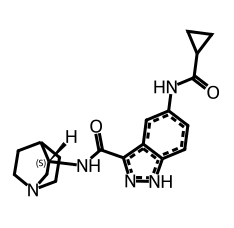 O=C(N[C@@H]1CN2CCC1CC2)c1n[nH]c2ccc(NC(=O)C3CC3)cc12